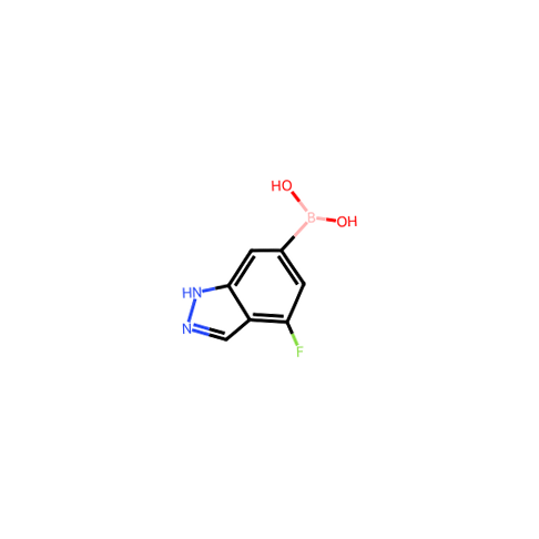 OB(O)c1cc(F)c2cn[nH]c2c1